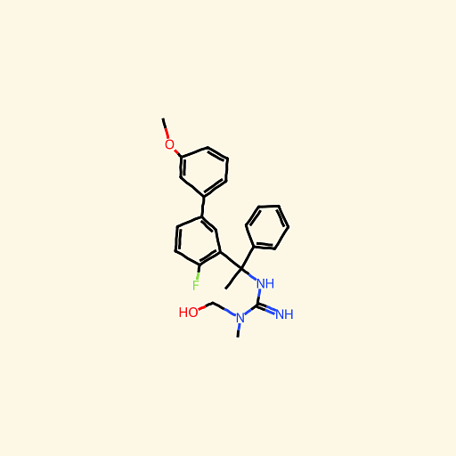 COc1cccc(-c2ccc(F)c(C(C)(NC(=N)N(C)CO)c3ccccc3)c2)c1